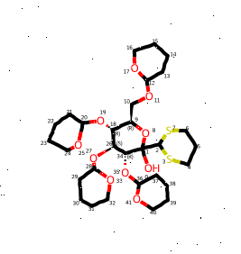 OC1(C2SCCCS2)O[C@H](COC2CCCCO2)[C@@H](OC2CCCCO2)[C@H](OC2CCCCO2)[C@H]1OC1CCCCO1